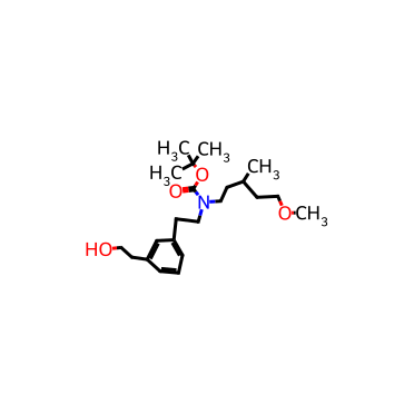 COCCC(C)CCN(CCc1cccc(CCO)c1)C(=O)OC(C)(C)C